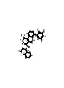 CCC(CC)c1c(C(=O)NC2CCOc3ccccc32)cnc2c(-c3cc(F)cc(F)c3F)cccc12